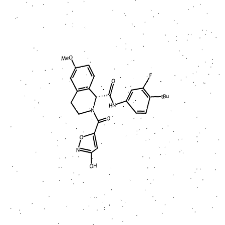 COc1ccc2c(c1)CCN(C(=O)c1cc(O)no1)[C@H]2C(=O)Nc1ccc(C(C)(C)C)c(F)c1